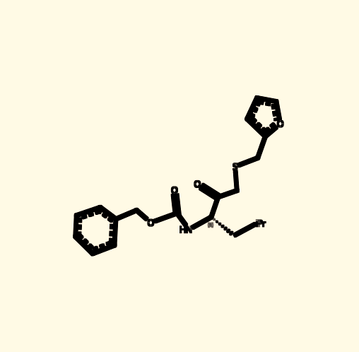 CC(C)C[C@H](NC(=O)OCc1ccccc1)C(=O)CSCc1ccco1